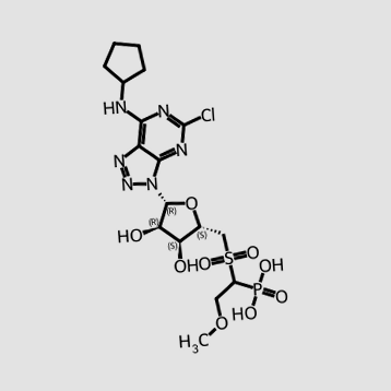 COCC(P(=O)(O)O)S(=O)(=O)C[C@H]1O[C@@H](n2nnc3c(NC4CCCC4)nc(Cl)nc32)[C@H](O)[C@@H]1O